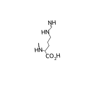 N=CNCCCC(NI)C(=O)O